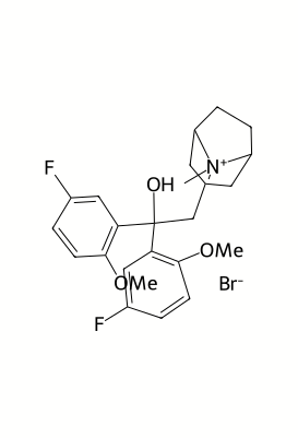 COc1ccc(F)cc1C(O)(CC1CC2CCC(C1)[N+]2(C)C)c1cc(F)ccc1OC.[Br-]